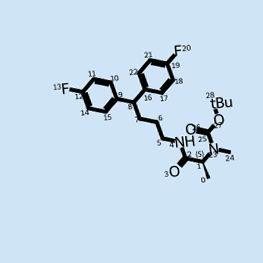 C[C@@H](C(=O)NCCCC(c1ccc(F)cc1)c1ccc(F)cc1)N(C)C(=O)OC(C)(C)C